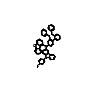 Fc1ccc(-n2c3ccccc3c3cc(N(c4ccc(-c5ccccc5Cc5ccccc5)c(Cc5ccccc5)c4)c4cccc5oc6ccccc6c45)ccc32)cc1